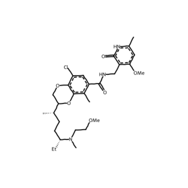 CC[C@H](CC[C@H](C)C1COc2c(Cl)cc(C(=O)NCc3c(OC)cc(C)[nH]c3=O)c(C)c2O1)N(C)CCOC